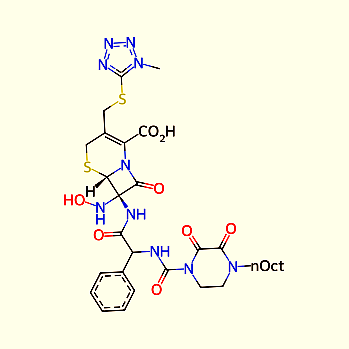 CCCCCCCCN1CCN(C(=O)NC(C(=O)N[C@]2(NO)C(=O)N3C(C(=O)O)=C(CSc4nnnn4C)CS[C@H]32)c2ccccc2)C(=O)C1=O